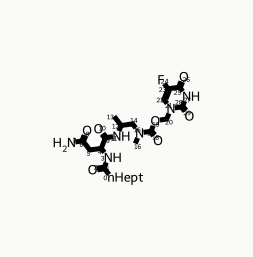 CCCCCCCC(=O)NC(CC(N)=O)C(=O)NC(C)CN(C)C(=O)OCn1cc(F)c(=O)[nH]c1=O